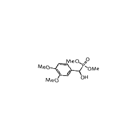 COc1ccc(C(O)P(=O)(OC)OC)cc1OC